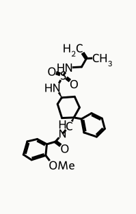 C=C(C)CNS(=O)(=O)N[C@H]1CC[C@](CNC(=O)c2ccccc2OC)(c2ccccc2)CC1